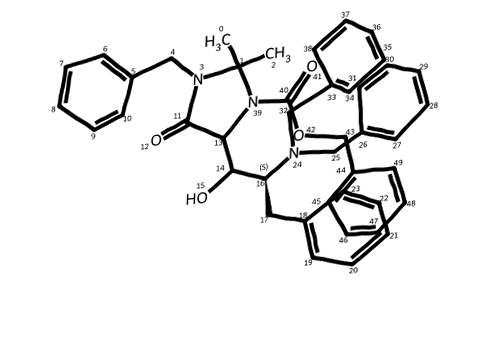 CC1(C)N(Cc2ccccc2)C(=O)C(C(O)[C@H](Cc2ccccc2)N(Cc2ccccc2)Cc2ccccc2)N1C(=O)OCc1ccccc1